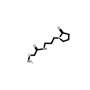 NOCC(=O)NCCCN1CCCC1=O